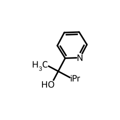 CC(C)C(C)(O)c1ccccn1